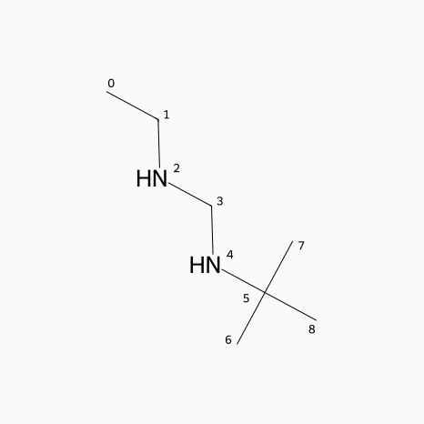 CCNCNC(C)(C)C